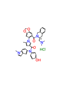 Cc1cc(C(=O)N(c2ccc(O)cc2)c2ccc3c(ccn3C)c2)cn1-c1cc2c(cc1C(=O)N1Cc3ccccc3C[C@H]1CN(C)C)OCO2.Cl